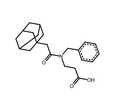 O=C(O)CCN(Cc1ccccc1)C(=O)CC12CC3CC(CC(C3)C1)C2